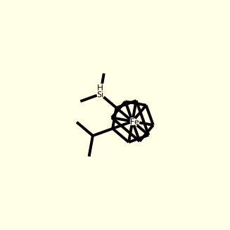 CC(C)[C]12[CH]3[CH]4[CH]5[C]1([SiH](C)C)[Fe]43521678[CH]2[CH]1[CH]6[CH]7[CH]28